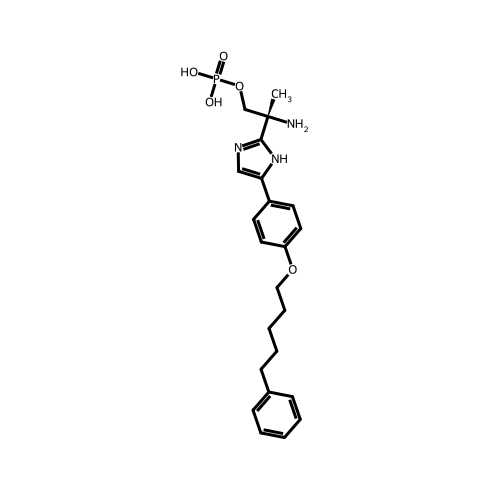 C[C@](N)(COP(=O)(O)O)c1ncc(-c2ccc(OCCCCCc3ccccc3)cc2)[nH]1